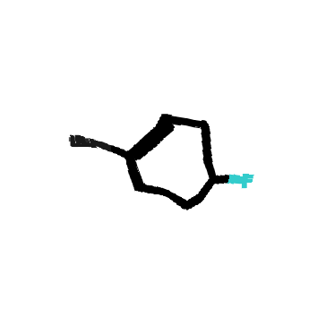 CC(C)(C)C1=CCC(F)CC1